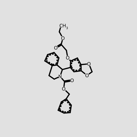 CCOC(=O)COc1cc2c(cc1C1c3ccccc3CCN1C(=O)OCc1ccccc1)OCO2